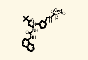 CC(C)(C)c1cc(NC(=O)Nc2cccc3ccccc23)n(-c2cccc(CNC(=O)NS(C)(=O)=O)c2)n1